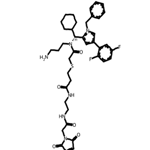 NCCCN(C(=O)CSCCC(=O)NCCNC(=O)CN1C(=O)C=CC1=O)[C@@H](c1cc(-c2cc(F)ccc2F)cn1Cc1ccccc1)C1CCCCC1